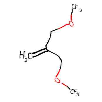 C=C(COC(F)(F)F)COC(F)(F)F